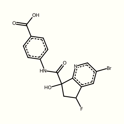 O=C(O)c1ccc(NC(=O)C2(O)CC(F)c3cc(Br)cnc32)cc1